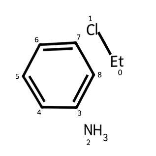 CCCl.N.c1ccccc1